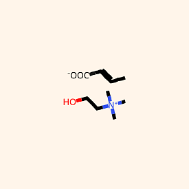 CC=CC(=O)[O-].C[N+](C)(C)CCO